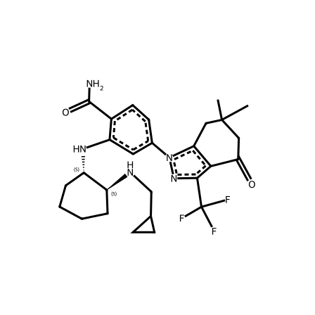 CC1(C)CC(=O)c2c(C(F)(F)F)nn(-c3ccc(C(N)=O)c(N[C@H]4CCCC[C@@H]4NCC4CC4)c3)c2C1